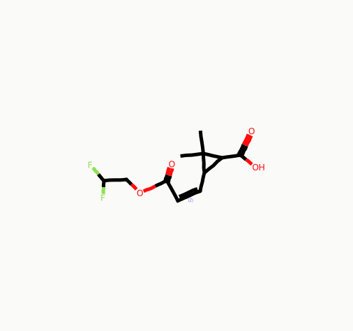 CC1(C)C(/C=C\C(=O)OCC(F)F)C1C(=O)O